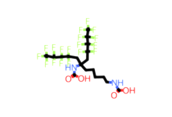 O=C(O)NCCCCCC(CC(F)(F)C(F)(F)C(F)(F)C(F)(F)F)(CC(F)(F)C(F)(F)C(F)(F)C(F)(F)F)NC(=O)O